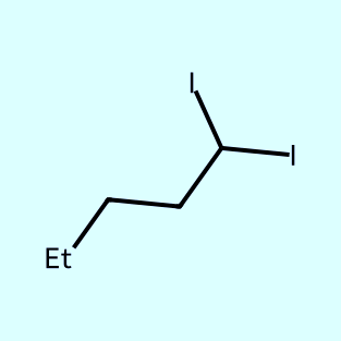 CCCCC(I)I